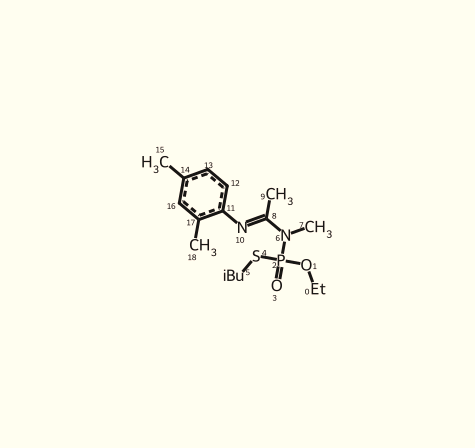 CCOP(=O)(SC(C)CC)N(C)C(C)=Nc1ccc(C)cc1C